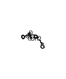 O=CN(OCc1ccccc1)C(Cc1ccc(OCCCCN2CCCCC2)cc1)C(=O)O